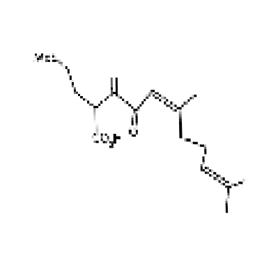 CSCCC(NC(=O)C=C(C)CCC=C(C)C)C(=O)O